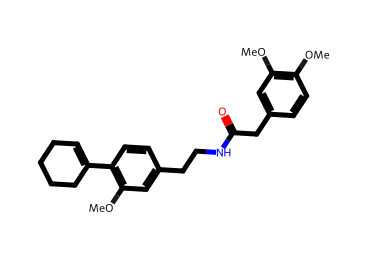 COc1ccc(CC(=O)NCCc2ccc(C3=CCCCC3)c(OC)c2)cc1OC